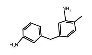 Cc1ccc(Cc2cccc(N)c2)cc1N